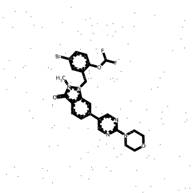 Cn1c(=O)c2ccc(-c3cnc(N4CCOCC4)nc3)cc2n1Cc1cc(Br)ccc1OC(F)F